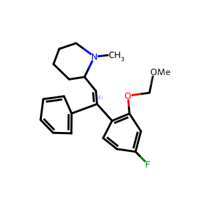 COCOc1cc(F)ccc1/C(=C/C1CCCCN1C)c1ccccc1